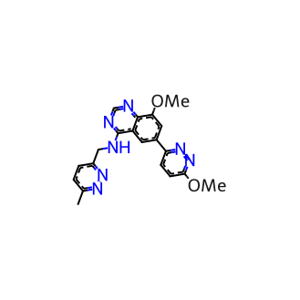 COc1ccc(-c2cc(OC)c3ncnc(NCc4ccc(C)nn4)c3c2)nn1